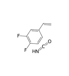 C=Cc1ccc(F)c(F)c1.N=C=O